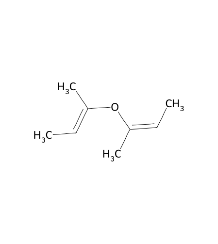 CC=C(C)OC(C)=CC